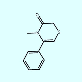 CN1C(=O)CSC=C1c1ccccc1